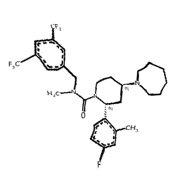 Cc1cc(F)ccc1[C@H]1C[C@H](N2CCCCCC2)CCN1C(=O)N(C)Cc1cc(C(F)(F)F)cc(C(F)(F)F)c1